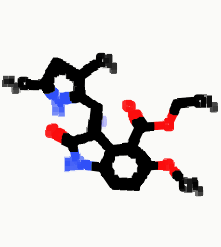 CCOC(=O)c1c(OC)ccc2c1/C(=C/c1[nH]c(C)cc1C)C(=O)N2